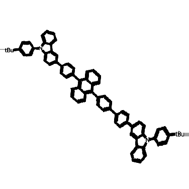 CC(C)(C)c1ccc(-n2c3ccccc3c3cc(-c4ccc(-c5ccc(-c6c7ccccc7c(-c7ccc(-c8ccc9c(c8)c8ccccc8n9-c8ccc(C(C)(C)C)cc8)cc7)c7ccccc67)cc5)cc4)ccc32)cc1